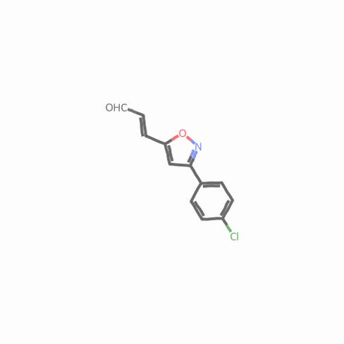 O=CC=Cc1cc(-c2ccc(Cl)cc2)no1